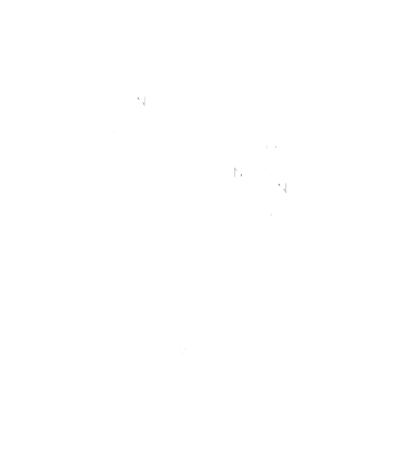 NC(=O)c1ccc(-c2cc(-c3ccc(Br)cc3)cc3c(=O)[nH]c(=O)[nH]c23)cc1